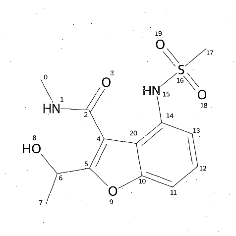 CNC(=O)c1c(C(C)O)oc2cccc(NS(C)(=O)=O)c12